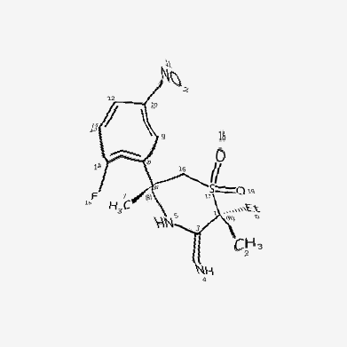 CC[C@]1(C)C(=N)N[C@](C)(c2cc([N+](=O)[O-])ccc2F)CS1(=O)=O